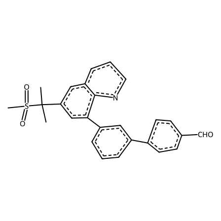 CC(C)(c1cc(-c2cccc(-c3ccc(C=O)cc3)c2)c2ncccc2c1)S(C)(=O)=O